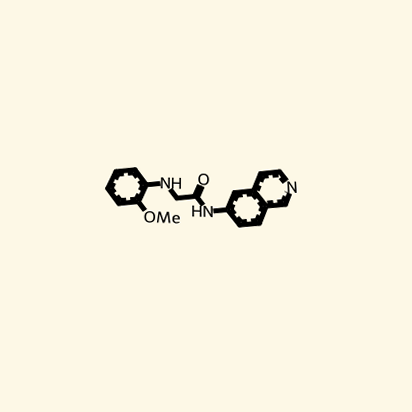 COc1ccccc1NCC(=O)Nc1ccc2cnccc2c1